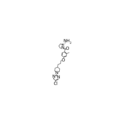 Cc1cc(OCCCC2CCN(c3ncc(Cl)cn3)CC2)ccc1C(=O)N1CCC[C@@H]1CN